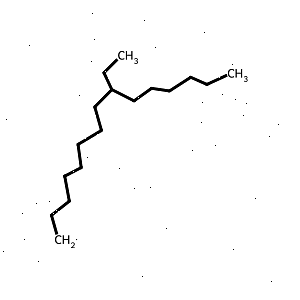 [CH2]CCCCCCCC(CC)CCCCCC